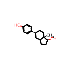 C[C@]12CC[C@H](c3ccc(O)cc3)CC1CC[C@@H]2O